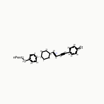 CCCCCOc1ccc([C@H]2CC[C@H](/C=C/C#Cc3ccc(CC)cc3)CC2)cc1